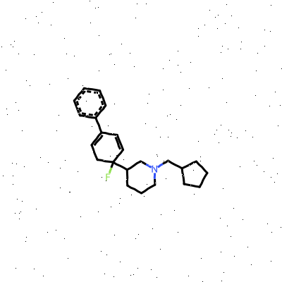 FC1(C2CCCN(CC3CCCC3)C2)C=CC(c2ccccc2)=CC1